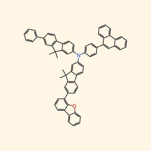 CC1(C)c2cc(-c3ccccc3)ccc2-c2ccc(N(c3ccc(-c4cc5ccccc5c5ccccc45)cc3)c3ccc4c(c3)C(C)(C)c3cc(-c5cccc6c5oc5ccccc56)ccc3-4)cc21